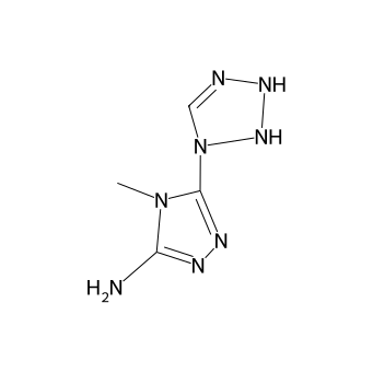 Cn1c(N)nnc1N1C=NNN1